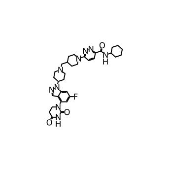 O=C1CCN(c2cc(F)cc3c2cnn3C2CCN(CC3CCN(c4ccc(C(=O)NC5CCCCC5)nn4)CC3)CC2)C(=O)N1